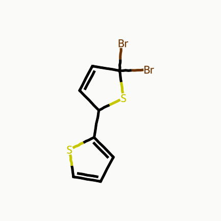 BrC1(Br)C=CC(c2cccs2)S1